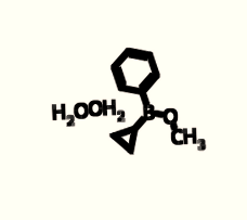 COB(c1ccccc1)C1CC1.O.O